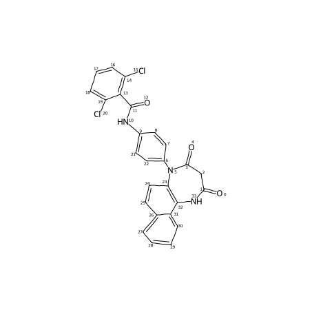 O=C1CC(=O)N(c2ccc(NC(=O)c3c(Cl)cccc3Cl)cc2)c2ccc3ccccc3c2N1